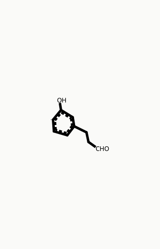 O=CCCc1cc[c]c(O)c1